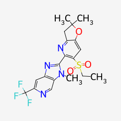 CCS(=O)(=O)c1cc2c(nc1-c1nc3cc(C(F)(F)F)ncc3n1C)CC(C)(C)O2